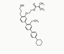 C=C(C)C(=O)OCCOc1cc(-c2ccc(-c3ccc(C4CCCCC4)cc3)cc2CC)ccc1CCCO